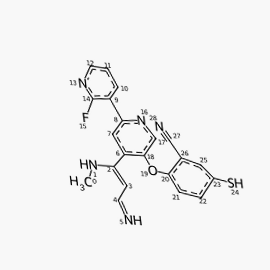 CN/C(=C\C=N)c1cc(-c2cccnc2F)ncc1Oc1ccc(S)cc1C#N